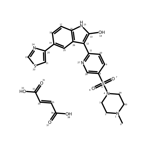 CN1CCN(S(=O)(=O)c2ccc(-c3c(O)[nH]c4ccc(-c5cscn5)cc34)nc2)CC1.O=C(O)C=CC(=O)O